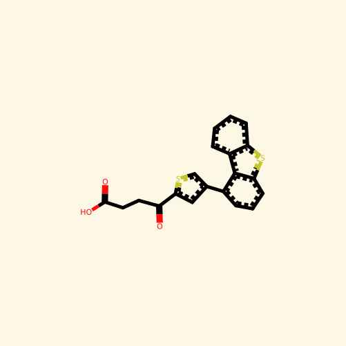 O=C(O)CCC(=O)c1cc(-c2cccc3sc4ccccc4c23)cs1